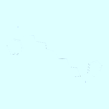 CC(C)[C@H](COCCOCCOCC(O)(c1ccccc1)C(C)C)c1ccccc1